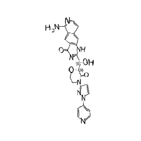 Nc1nccc2cc3[nH]c([C@H](O)[C@H]4OCCN(c5ccn(-c6ccncc6)n5)C4=O)nc(=O)c3cc12